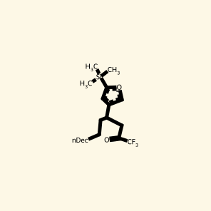 CCCCCCCCCCCCC(CC(=O)C(F)(F)F)c1coc([Si](C)(C)C)c1